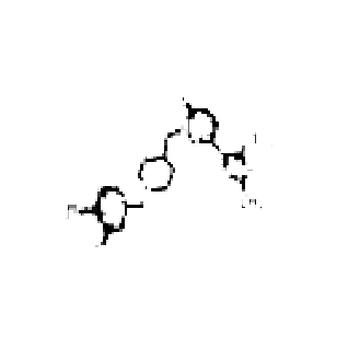 Cc1nc(C)c(-c2ccc(=O)n(CC3CCN(Cc4ccc(F)c(F)c4)CC3)n2)s1